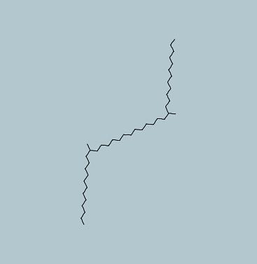 CCCCCCCCCCCCC(C)CCCCCCCCCCCCCC(C)CCCCCCCCCCCC